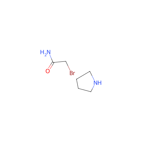 C1CCNC1.NC(=O)CBr